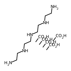 CC(=O)O.CC(=O)O.CC(=O)O.CC(=O)O.CC(=O)O.NCCNCCNCCNCCN